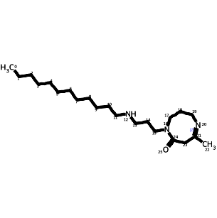 CCCCCCCCCCCCNCCCN1CCC/N=C(/C)CC1=O